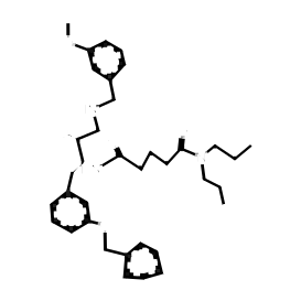 CCCN(CCC)C(=O)CCCC(=O)N[C@@H](Cc1cccc(OCc2ccccc2)c1)[C@H](O)CNCc1cccc(OC)c1